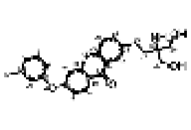 Cc1cccc(Oc2ccc3c(=O)c4cc(CCC(N)(CO)CO)ccc4sc3c2)c1